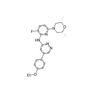 CCOc1ccc(-c2cnnc(Nc3nc(N4C[C@@H](C)O[C@@H](C)C4)ccc3F)c2)cc1